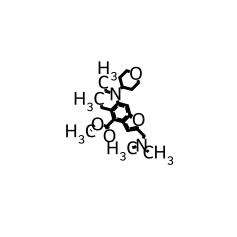 CCc1c(N(CC)C2CCOCC2)cc2oc(CN(C)C)cc2c1C(=O)OC